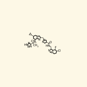 CC(C)(Cc1cc(C2CC2)cn2cc(Cn3cc(C(=O)NCc4ncn5ccc(Cl)c(F)c45)cn3)nc12)c1nn[nH]n1